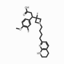 COc1ccc(C(CC(=O)O)C2(F)CN(CCCCc3ccc4c(n3)NCCC4)C2)cc1F